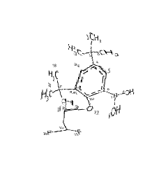 CC(C)(C)c1cc(B(O)O)c(OCC(F)F)c(C(C)(C)C)c1